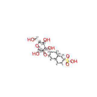 O=S(=O)(O)c1ccc2cc(O[C@@H]3[C@@H](O)[C@H](O)[C@@H](CO)O[C@H]3O)ccc2c1